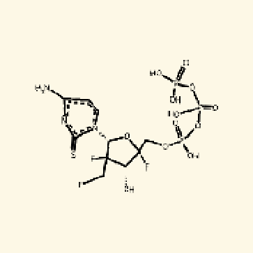 Nc1ccn([C@@H]2O[C@](F)(COP(=O)(O)OP(=O)(O)OP(=O)(O)O)[C@H](O)C2(F)CF)c(=S)n1